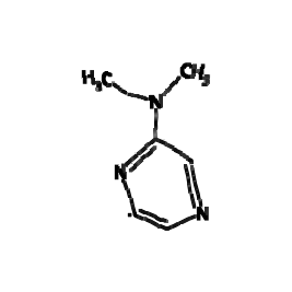 CN(C)c1cnc[c]n1